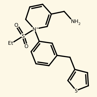 CCS(=O)(=O)[N+]1(c2cccc(Cc3ccsc3)c2)C=C(CN)C=CC1